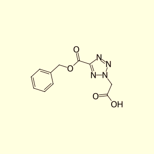 O=C(O)Cn1nnc(C(=O)OCc2ccccc2)n1